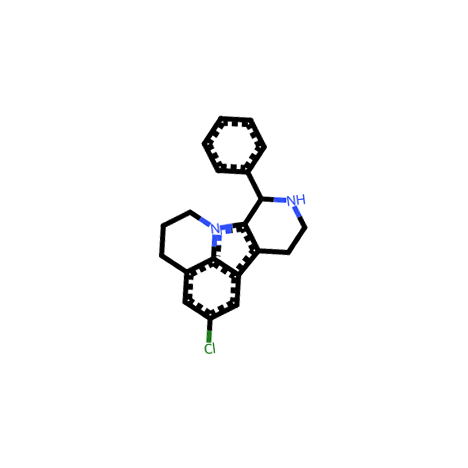 Clc1cc2c3c(c1)c1c(n3CCC2)C(c2ccccc2)NCC1